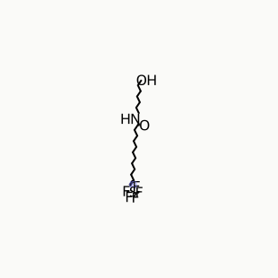 O=C(CCCCCCCCC/C=C/S(F)(F)(F)(F)F)NCCCCCCO